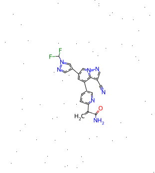 C=C(C(N)=O)c1ccc(-c2cc(-c3cnn(C(F)F)c3)cn3ncc(C#N)c23)cn1